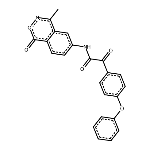 Cc1noc(=O)c2ccc(NC(=O)C(=O)c3ccc(Oc4ccccc4)cc3)cc12